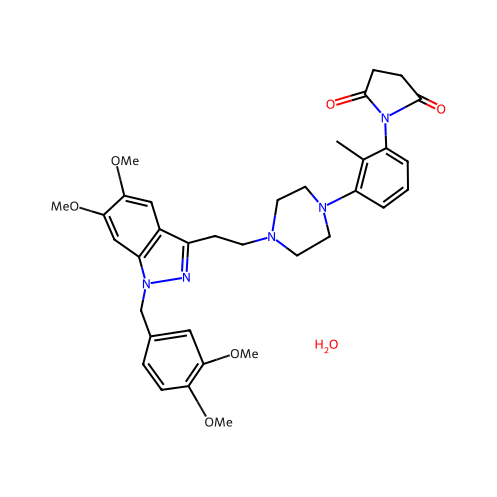 COc1ccc(Cn2nc(CCN3CCN(c4cccc(N5C(=O)CCC5=O)c4C)CC3)c3cc(OC)c(OC)cc32)cc1OC.O